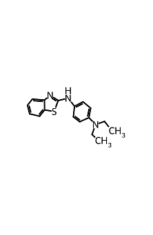 CCN(CC)c1ccc(Nc2nc3ccccc3s2)cc1